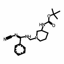 CC(C)(C)OC(=O)NC1CCCN(CN/C(=N/C#N)c2ccccc2)C1